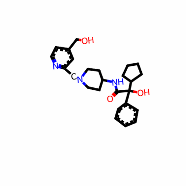 O=C(NC1CCN(Cc2cc(CO)ccn2)CC1)C(O)(c1ccccc1)C1CCCC1